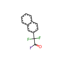 O=C(I)C(F)(F)c1ccc2ccccc2c1